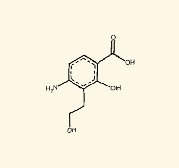 Nc1ccc(C(=O)O)c(O)c1CCO